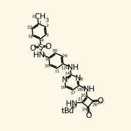 Cc1ccc(S(=O)(=O)Nc2ccc(Nc3nccc(Nc4c(NC(C)(C)C)c(=O)c4=O)n3)cc2)cc1